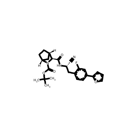 CC(C)(C)OC(=O)N1[C@@H]2CC[C@@H](C2)[C@H]1C(=O)N[C@H](C#N)Cc1ccc(-c2ccco2)cc1F